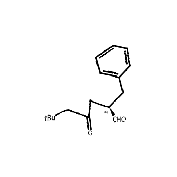 CC(C)(C)CC(=O)C[C@H]([C]=O)Cc1ccccc1